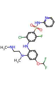 CNCCN(C)c1cc(OC(F)F)ccc1Nc1cc(F)c(S(=O)(=O)Nc2ccccn2)cc1Cl